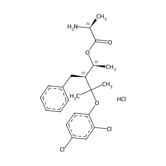 C[C@H](N)C(=O)O[C@@H](C)[C@H](Cc1ccccc1)C(C)(C)Oc1ccc(Cl)cc1Cl.Cl